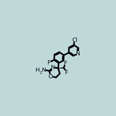 NC1=N[C@@](c2cc(-c3cncc(Cl)c3)ccc2F)(C(F)F)CCO1